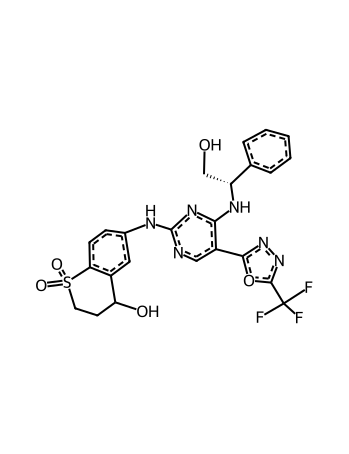 O=S1(=O)CCC(O)c2cc(Nc3ncc(-c4nnc(C(F)(F)F)o4)c(N[C@H](CO)c4ccccc4)n3)ccc21